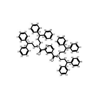 O=C(c1ccnc(C(=O)N(CCC(c2ccccc2)c2ccccc2)CCC(c2ccccc2)c2ccccc2)c1)N(CCC(c1ccccc1)c1ccccc1)CCC(c1ccccc1)c1ccccc1